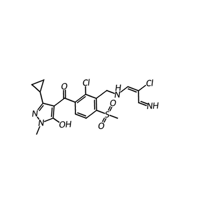 Cn1nc(C2CC2)c(C(=O)c2ccc(S(C)(=O)=O)c(CN/C=C(/Cl)C=N)c2Cl)c1O